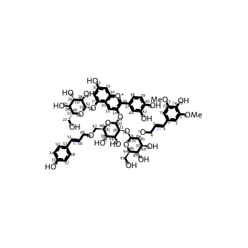 COc1cc(/C=C/CO[C@H]2[C@H](O[C@H]3[C@H](Oc4cc5c(O[C@@H]6O[C@H](CO)[C@@H](O)[C@H](O)[C@H]6O)cc(O)cc5[o+]c4-c4ccc(O)c(O)c4)O[C@H](COC/C=C/c4ccc(O)cc4)[C@@H](O)[C@@H]3O)O[C@H](CO)[C@@H](O)[C@@H]2O)cc(OC)c1O